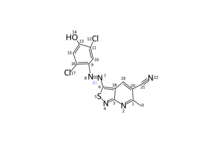 Cc1nc2nsc(/N=N/c3cc(Cl)c(O)cc3Cl)c2cc1C#N